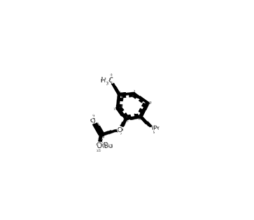 Cc1ccc(C(C)C)c(OC(=O)OCC(C)C)c1